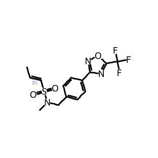 C/C=C/S(=O)(=O)N(C)Cc1ccc(-c2noc(C(F)(F)F)n2)cc1